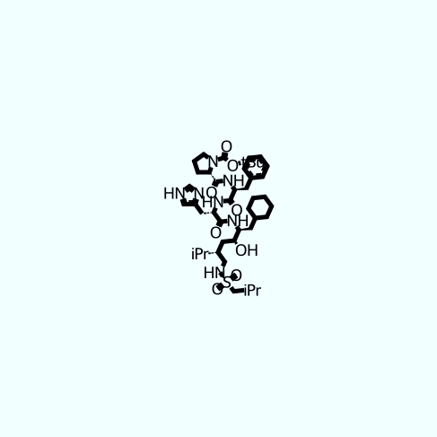 CC(C)CS(=O)(=O)NC[C@@H](C[C@H](O)[C@H](CC1CCCCC1)NC(=O)[C@H](Cc1c[nH]cn1)NC(=O)[C@H](Cc1ccccc1)NC(=O)[C@@H]1CCCN1C(=O)OC(C)(C)C)C(C)C